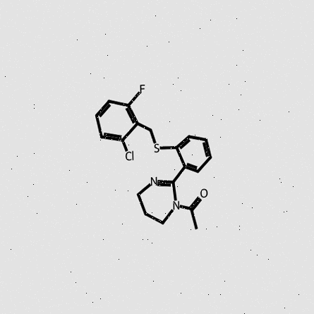 CC(=O)N1CCCN=C1c1ccccc1SCc1c(F)cccc1Cl